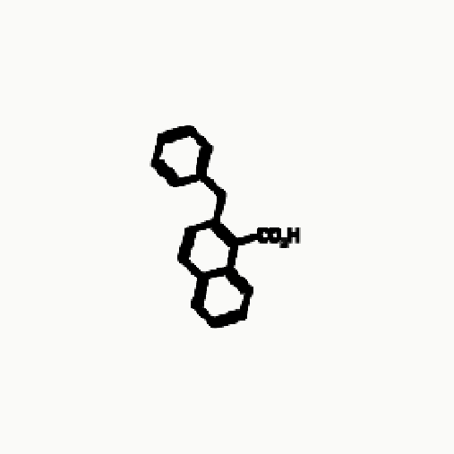 O=C(O)c1c(Cc2ccccc2)ccc2ccccc12